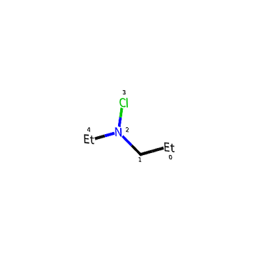 [CH2]CCN(Cl)CC